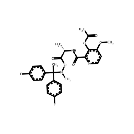 COc1ccnc(C(=O)N[C@@H](C)C(=O)ON(C)C(C)(c2ccc(F)cc2)c2ccc(F)cc2)c1OC(C)=O